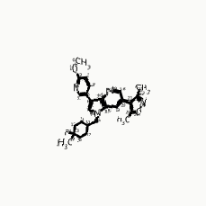 COc1ccc(-c2cn(CC3CCC(C)(F)CC3)c3cc(-c4c(C)noc4C)cnc23)cn1